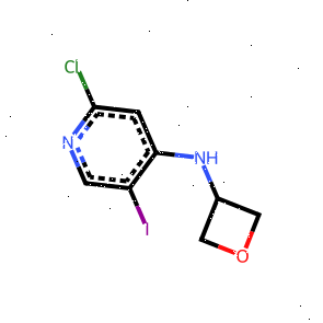 Clc1cc(NC2COC2)c(I)cn1